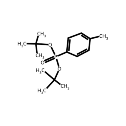 Cc1ccc(P(=O)(OC(C)(C)C)OC(C)(C)C)cc1